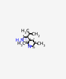 C=C(C)/C(=C/N)c1cc(C)cnc1C